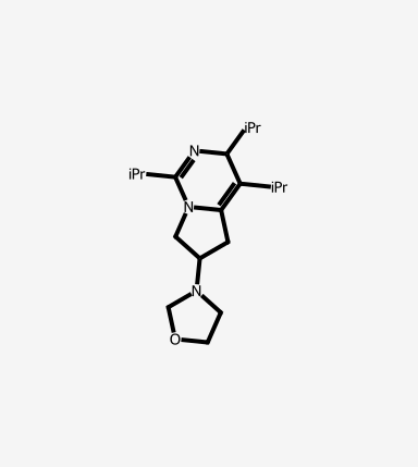 CC(C)C1=NC(C(C)C)C(C(C)C)=C2CC(N3CCOC3)CN12